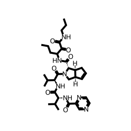 CCCNC(=O)C(=O)C(CCC)NC(=O)[C@@H]1[C@H]2CC=C[C@H]2CN1C(=O)[C@@H](NC(=O)[C@H](NC(=O)c1cnccn1)C(C)C)C(C)C